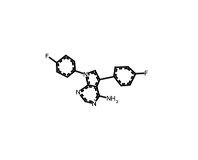 Nc1ncnc2c1c(-c1ccc(F)cc1)cn2-c1ccc(F)cc1